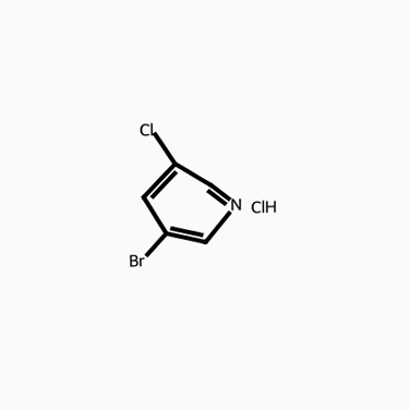 Cl.Clc1cncc(Br)c1